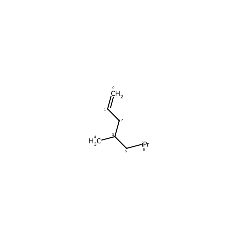 C=C[CH]C(C)CC(C)C